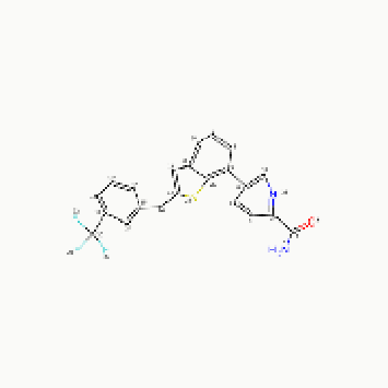 NC(=O)c1ccc(-c2cccc3cc(Cc4cccc(C(F)(F)F)c4)sc23)cn1